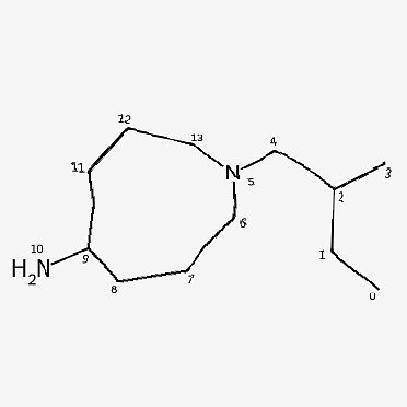 CCC(C)CN1CCCC(N)CCC1